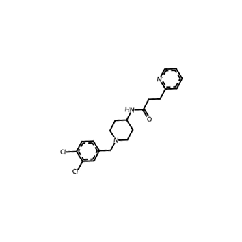 O=C(CCc1ccccn1)NC1CCN(Cc2ccc(Cl)c(Cl)c2)CC1